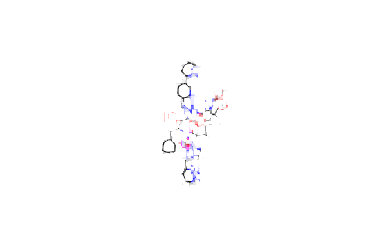 CCC(C)C(C(=O)NC(Cc1ccccc1)C(O)CN(Cc1ccc(-c2ccccn2)cc1)NC(=O)C(NC(=O)OC)C(C)(C)C)N1CCN(Cc2cccnn2)C1=O